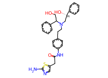 Nc1ncc(CC(=O)Nc2ccc(CCN(C[C@H](O)c3ccccc3)C(CO)c3ccccc3)cc2)s1